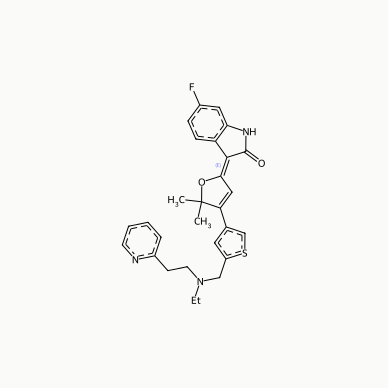 CCN(CCc1ccccn1)Cc1cc(C2=C/C(=C3\C(=O)Nc4cc(F)ccc43)OC2(C)C)cs1